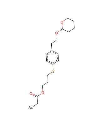 CC(=O)CC(=O)OCCCSc1ccc(CCOC2CCCCO2)cc1